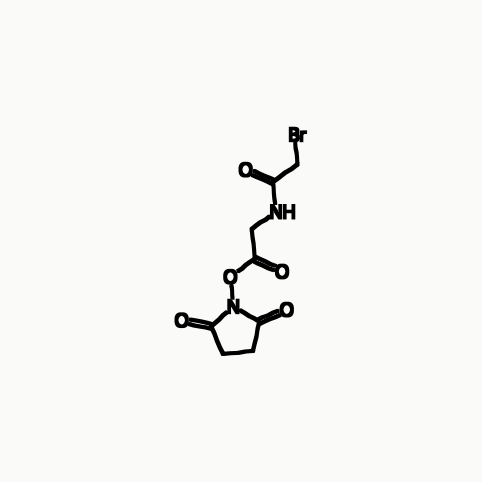 O=C(CBr)NCC(=O)ON1C(=O)CCC1=O